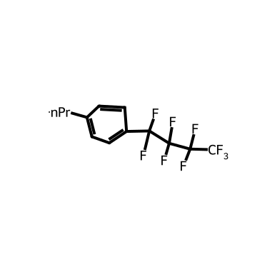 CC[CH]c1ccc(C(F)(F)C(F)(F)C(F)(F)C(F)(F)F)cc1